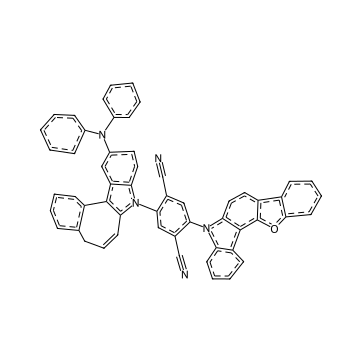 N#Cc1cc(-n2c3ccccc3c3c4oc5ccccc5c4ccc32)c(C#N)cc1-n1c2c(c3cc(N(c4ccccc4)c4ccccc4)ccc31)-c1ccccc1CC=C2